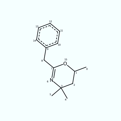 CC1CC(C)(C)N=C(Cc2ccccc2)O1